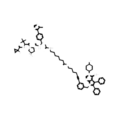 Cc1ncsc1-c1ccc([C@H](CC(=O)NCCCCCCC(=O)NCCCCC#Cc2cccc(Cn3c(-c4ccccc4)c(-c4ccccc4)c4c(=N)n(C5CCC(O)CC5)cnc43)c2)NC(=O)[C@@H]2C[C@@H](O)CN2C(=O)C(NC(=O)C2(F)CC2)C(C)(C)C)cc1